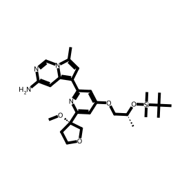 CO[C@@]1(c2cc(OC[C@@H](C)O[Si](C)(C)C(C)(C)C)cc(-c3cc(C)n4cnc(N)cc34)n2)CCOC1